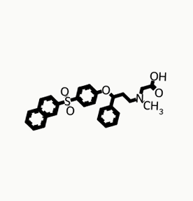 CN(CCC(Oc1ccc(S(=O)(=O)c2ccc3ccccc3c2)cc1)c1ccccc1)CC(=O)O